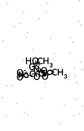 Cc1ccc(S(=O)(=O)OC2=C(C(=O)OCc3ccc([N+](=O)[O-])cc3)N3C(=O)C([C@@H](C)O)C3C2)cc1